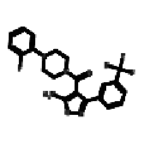 Nc1onc(-c2cccc(C(F)(F)F)c2)c1C(=O)N1CCN(c2ccccc2F)CC1